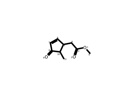 COC(=O)CC1C=CC(=O)C1C